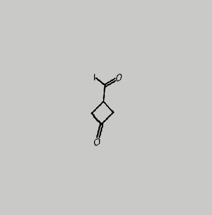 O=C1CC(C(=O)I)C1